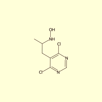 CC(Cc1c(Cl)ncnc1Cl)NO